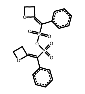 O=S(=O)(OS(=O)(=O)C(=C1CCO1)c1ccccc1)C(=C1CCO1)c1ccccc1